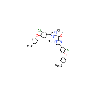 COc1ccc(Oc2ccc(-c3cn(C)c(C(=O)c4nc(-c5ccc(Oc6ccc(OC)cc6)c(Cl)c5)cn4C)n3)cc2Cl)cc1